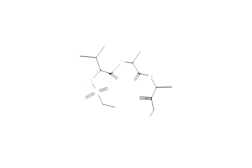 CCS(=O)(=O)NC(C(=O)NC(C)C(=O)NC(C)C(=O)CF)C(C)C